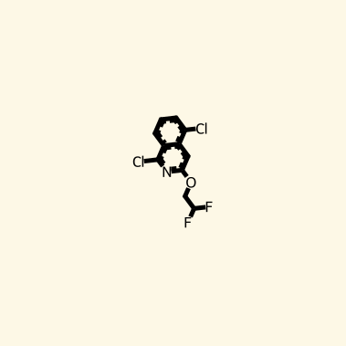 FC(F)COc1cc2c(Cl)cccc2c(Cl)n1